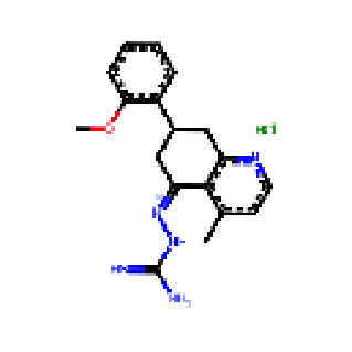 COc1ccccc1C1C/C(=N/NC(=N)N)c2c(C)ccnc2C1.Cl